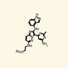 COCCNc1ccc2nc(Nc3cccc4[nH]ncc34)c(-c3cc(N)nc(C)n3)n2n1